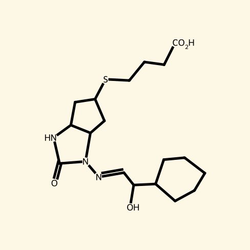 O=C(O)CCCSC1CC2NC(=O)N(N=CC(O)C3CCCCC3)C2C1